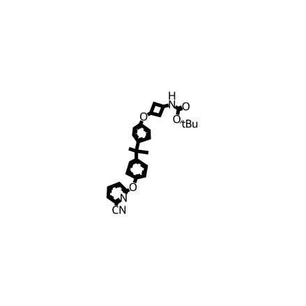 CC(C)(C)OC(=O)NC1CC(Oc2ccc(C(C)(C)c3ccc(Oc4cccc(C#N)n4)cc3)cc2)C1